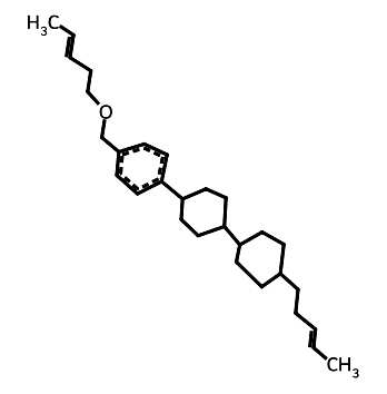 CC=CCCOCc1ccc(C2CCC(C3CCC(CCC=CC)CC3)CC2)cc1